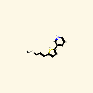 O=C(O)CC=Cc1ccc(-c2cccnc2)s1